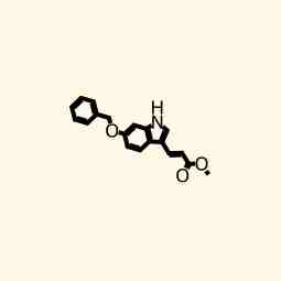 COC(=O)/C=C/c1c[nH]c2cc(OCc3ccccc3)ccc12